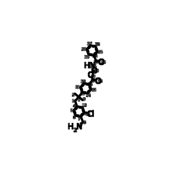 CC(C)(Cc1ccc(CN)c(Cl)c1)c1ccc(C(=O)OONC(=O)c2ccccc2)cc1